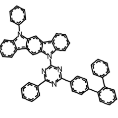 c1ccc(-c2nc(-c3ccc(-c4ccccc4-c4ccccc4)cc3)nc(-n3c4ccccc4c4cc5c(cc43)c3ccccc3n5-c3ccccc3)n2)cc1